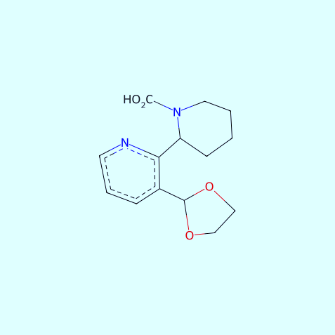 O=C(O)N1CCCCC1c1ncccc1C1OCCO1